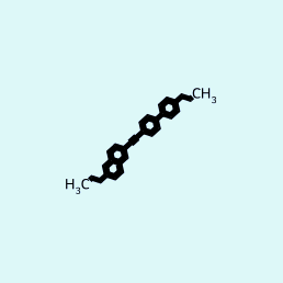 CCCc1ccc(-c2ccc(C#Cc3ccc4cc(CCC)ccc4c3)cc2)cc1